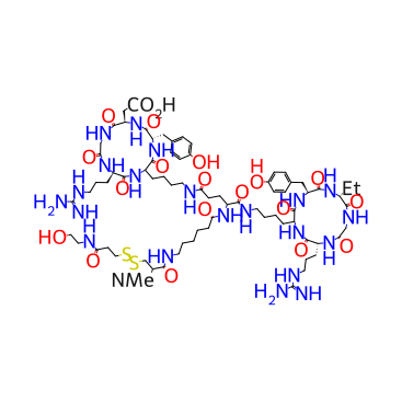 CC[C@H]1NC(=O)[C@H](Cc2ccc(O)cc2)NC(=O)C(CCCCNC(=O)C(CCC(=O)NCCCCC2NC(=O)[C@@H](CCCNC(=N)N)NC(=O)CNC(=O)[C@@H](CC(=O)O)NC(=O)[C@H](Cc3ccc(O)cc3)NC2=O)NC(=O)CCCCCNC(=O)C(CSSCCC(=O)NCCO)NC)NC(=O)[C@@H](CCCNC(=N)N)NC(=O)CNC1=O